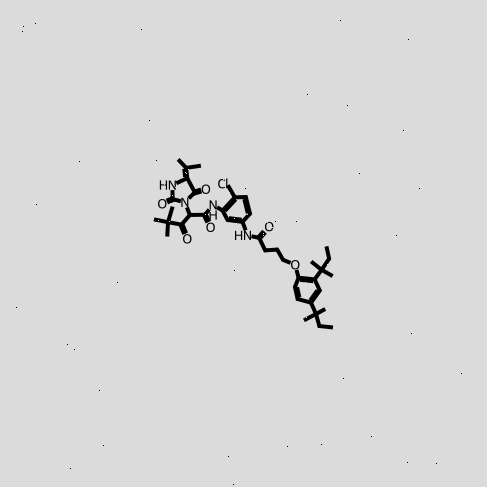 CCC(C)(C)c1ccc(OCCCC(=O)Nc2ccc(Cl)c(NC(=O)C(C(=O)C(C)(C)C)N3C(=O)NC(=C(C)C)C3=O)c2)c(C(C)(C)CC)c1